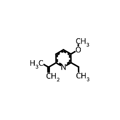 C=C(C)c1ccc(OC)c(CC)n1